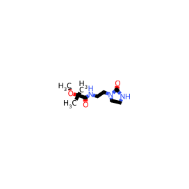 COC(C)(C)C(=O)NCCN1CCNC1=O